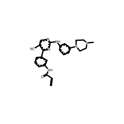 C=CC(=O)Nc1cccc(-c2nc(Nc3cccc(N4CCN(C)CC4)c3)ncc2C#N)c1